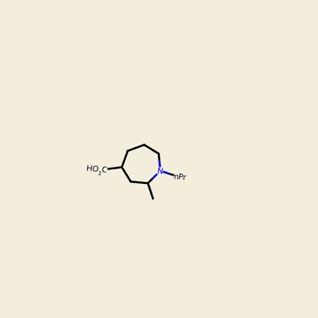 CCCN1CCCC(C(=O)O)CC1C